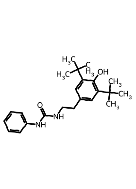 CC(C)(C)c1cc(CCNC(=O)Nc2ccccc2)cc(C(C)(C)C)c1O